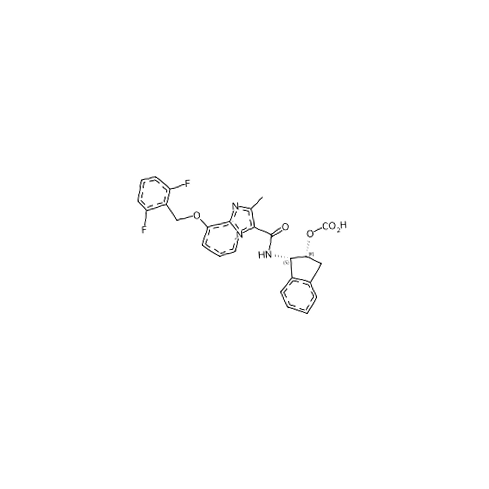 Cc1nc2c(OCc3c(F)cccc3F)cccn2c1C(=O)N[C@H]1c2ccccc2C[C@H]1OC(=O)O